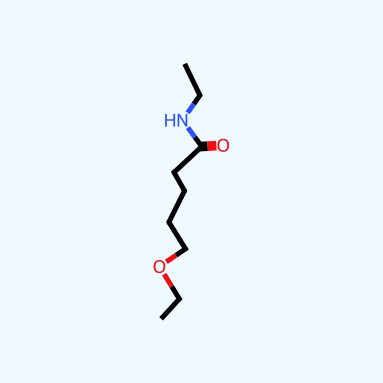 CCNC(=O)CCCCOCC